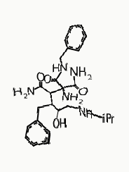 CC(C)CNCC(O)C(Cc1ccccc1)C(C(N)=O)C(N)(C(N)=O)C(=O)NCc1ccccc1